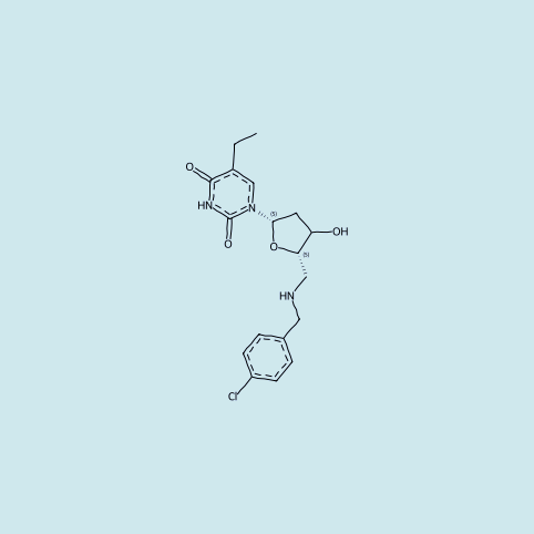 CCc1cn([C@@H]2CC(O)[C@H](CNCc3ccc(Cl)cc3)O2)c(=O)[nH]c1=O